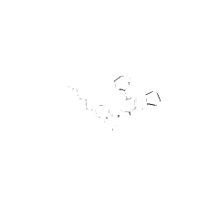 CC(C)C[C@H](NC(=O)[C@H](Cc1ccccc1)NC(=O)c1cnccn1)B1OCC(CCCCN)CO1